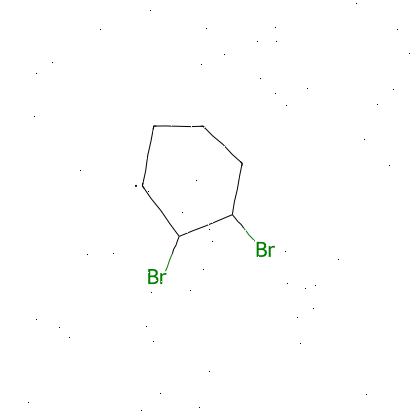 BrC1[CH]CCCC1Br